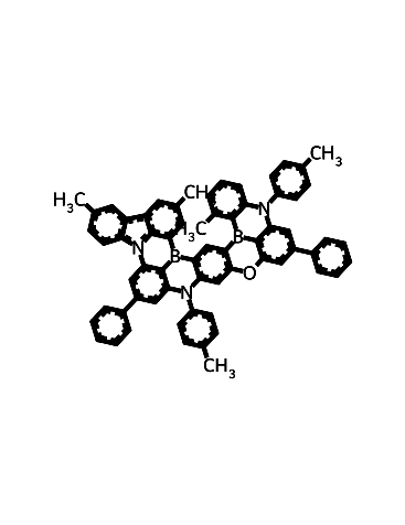 Cc1ccc(N2c3cccc(C)c3B3c4cc5c(cc4Oc4cc(-c6ccccc6)cc2c43)N(c2ccc(C)cc2)c2cc(-c3ccccc3)cc3c2B5c2cc(C)cc4c5cc(C)ccc5n-3c24)cc1